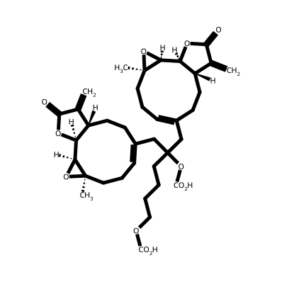 C=C1C(=O)O[C@H]2[C@H]1CC/C(CC(CCCCOC(=O)O)(C/C1=C/CC[C@@]3(C)O[C@H]3[C@H]3OC(=O)C(=C)[C@@H]3CC1)OC(=O)O)=C\CC[C@@]1(C)O[C@@H]21